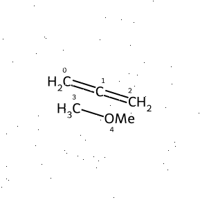 C=C=C.COC